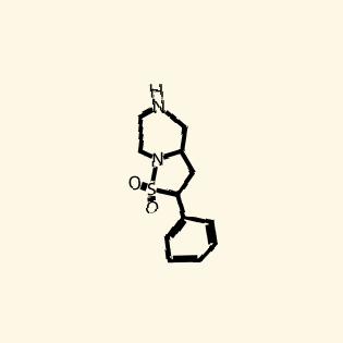 O=S1(=O)C(c2ccccc2)CC2CNCCN21